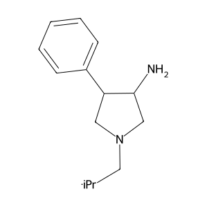 C[C](C)CN1CC(N)C(c2ccccc2)C1